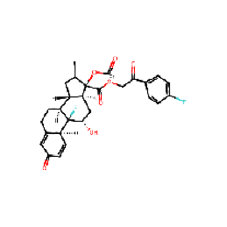 CCC(=O)O[C@]1(C(=O)OCC(=O)c2ccc(F)cc2)[C@H](C)C[C@H]2[C@@H]3CCC4=CC(=O)C=C[C@]4(C)[C@@]3(F)[C@@H](O)C[C@@]21C